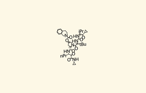 CCCC(NC(=O)[C@@H]1C[C@@H](OC(=O)N2CCc3ccccc3C2)CN1C(=O)[C@@H](NC(=O)N[C@H](C(=O)C1CC1)C(C)C)C(C)(C)C)C(=O)C(=O)NC1CC1